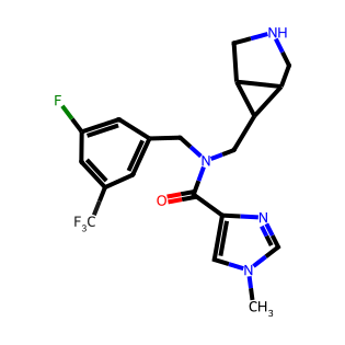 Cn1cnc(C(=O)N(Cc2cc(F)cc(C(F)(F)F)c2)CC2C3CNCC32)c1